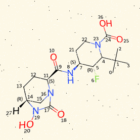 CC(C)(C)C1[C@H](F)[C@@H](NC(=O)[C@@H]2CC[C@@H]3CN2C(=O)N3O)CCN1C(=O)O